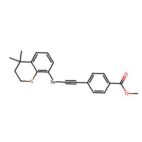 COC(=O)c1ccc(C#C[Se]c2cccc3c2SCCC3(C)C)cc1